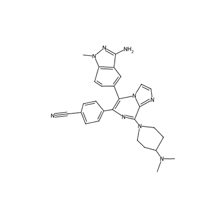 CN(C)C1CCN(c2nc(-c3ccc(C#N)cc3)c(-c3ccc4c(c3)c(N)nn4C)n3ccnc23)CC1